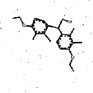 CCOc1ccc(C(CBr)c2ccc(OCC)c(C)c2C)c(C)c1C